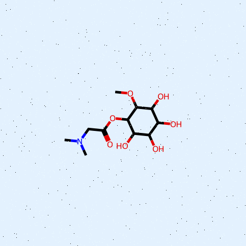 COC1C(O)C(O)C(O)C(O)C1OC(=O)CN(C)C